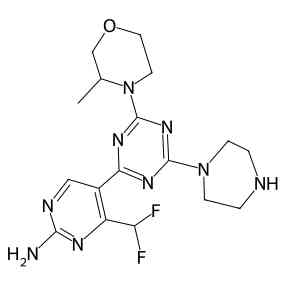 CC1COCCN1c1nc(-c2cnc(N)nc2C(F)F)nc(N2CCNCC2)n1